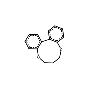 c1ccc2c(c1)OCCCOc1ccccc1-2